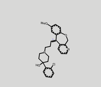 COc1ccc2c(c1)/C(=C/CCN1CCC(O)(c3ccccc3Cl)CC1)c1cccnc1CO2